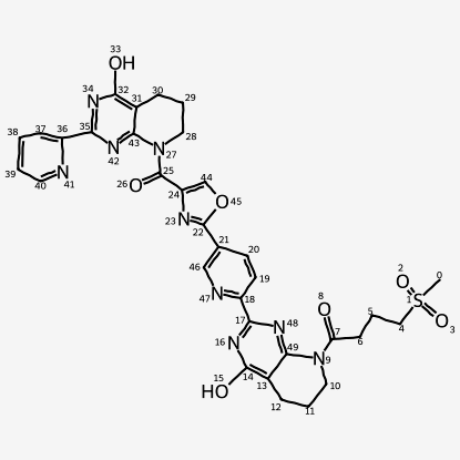 CS(=O)(=O)CCCC(=O)N1CCCc2c(O)nc(-c3ccc(-c4nc(C(=O)N5CCCc6c(O)nc(-c7ccccn7)nc65)co4)cn3)nc21